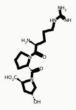 N=C(N)NCCC[C@H](N)C(=O)N1CCC[C@H]1C(=O)N1C[C@H](O)C[C@H]1C(=O)O